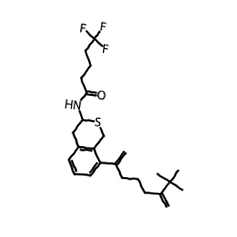 C=C(CCCC(=C)C(C)(C)C)c1cccc2c1CSC(NC(=O)CCCC(F)(F)F)C2